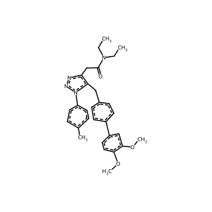 CCN(CC)C(=O)Cc1nnn(-c2ccc(C)cc2)c1Cc1ccc(-c2ccc(OC)c(OC)c2)cc1